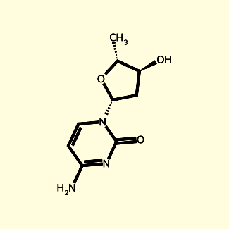 C[C@H]1O[C@@H](n2ccc(N)nc2=O)C[C@@H]1O